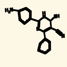 N#CC1=C(c2ccccc2)N=C(c2ccc(N)cc2)NC1S